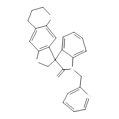 O=C1N(Cc2ccccn2)c2ccccc2C12COc1cc3c(cc12)OCCC3